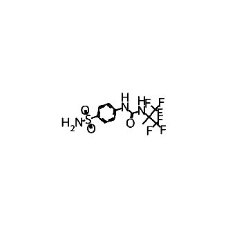 CC(NC(=O)Nc1ccc(S(N)(=O)=O)cc1)(C(F)(F)F)C(F)(F)F